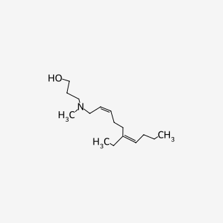 CCC/C=C(/CC)CC/C=C\CN(C)CCCO